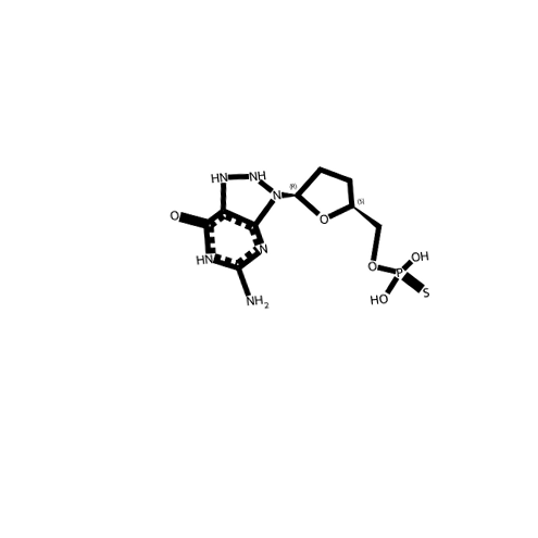 Nc1nc2c(c(=O)[nH]1)NNN2[C@H]1CC[C@@H](COP(O)(O)=S)O1